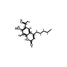 CCCCCc1cc(=O)oc2c(C)c(O)c(C(C)=O)cc12